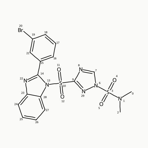 CN(C)S(=O)(=O)n1cnc(S(=O)(=O)n2c(-c3cccc(Br)c3)nc3ccccc32)n1